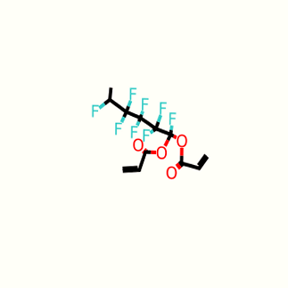 C=CC(=O)OC(F)(OC(=O)C=C)C(F)(F)C(F)(F)C(F)(F)C(C)F